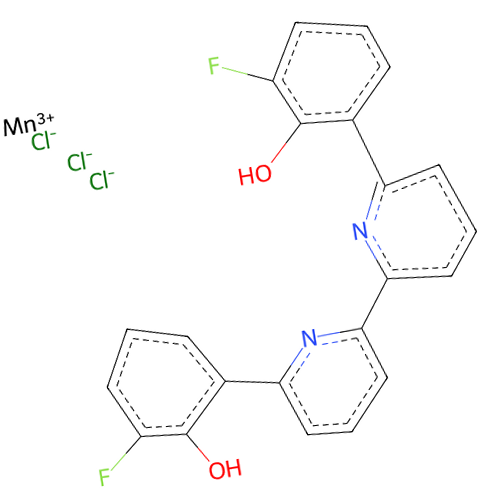 Oc1c(F)cccc1-c1cccc(-c2cccc(-c3cccc(F)c3O)n2)n1.[Cl-].[Cl-].[Cl-].[Mn+3]